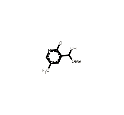 COC(O)c1cc(C(F)(F)F)cnc1Cl